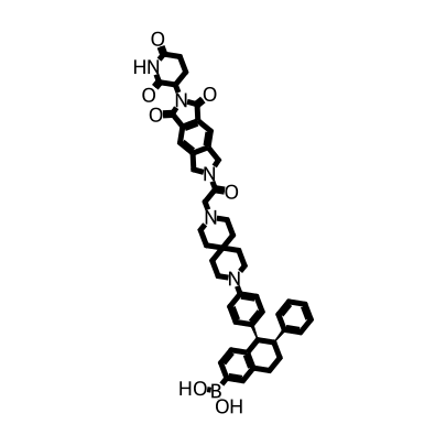 O=C1CCC(N2C(=O)c3cc4c(cc3C2=O)CN(C(=O)CN2CCC3(CC2)CCN(c2ccc([C@@H]5c6ccc(B(O)O)cc6CC[C@@H]5c5ccccc5)cc2)CC3)C4)C(=O)N1